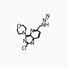 N#[N+]NCc1ccc2nc(Cl)nc(N3CCOCC3)c2n1